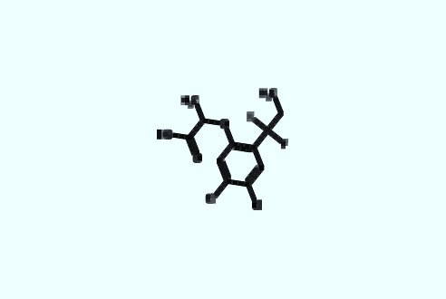 CCC(F)(F)c1cc(Cl)c(Cl)cc1OC(C)C(=O)O